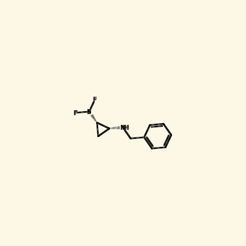 FB(F)[C@H]1C[C@H]1NCc1ccccc1